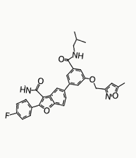 CNC(=O)c1c(-c2ccc(F)cc2)oc2ccc(-c3cc(OCc4cc(C)on4)cc(C(=O)NCC(C)C)c3)cc12